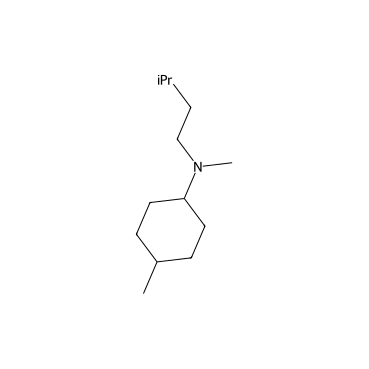 CC(C)CCN(C)C1CCC(C)CC1